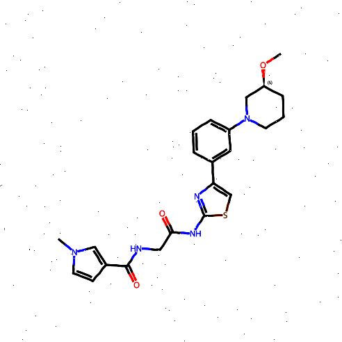 CO[C@H]1CCCN(c2cccc(-c3csc(NC(=O)CNC(=O)c4ccn(C)c4)n3)c2)C1